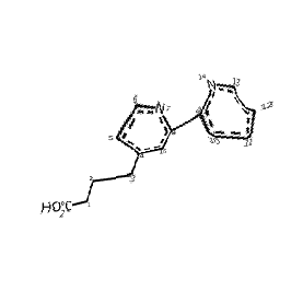 O=C(O)CCCc1ccnc(-c2ccccn2)c1